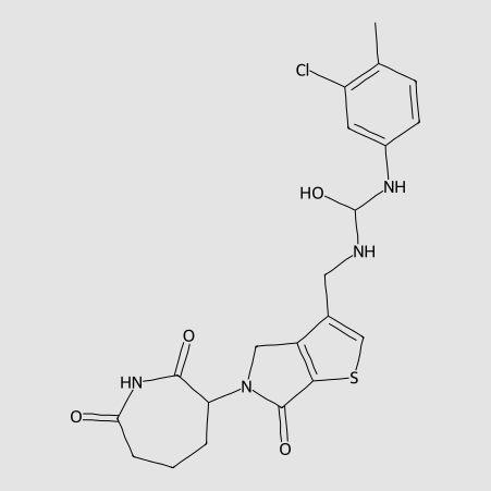 Cc1ccc(NC(O)NCc2csc3c2CN(C2CCCC(=O)NC2=O)C3=O)cc1Cl